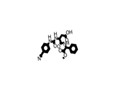 COC(=O)C(NC(=O)C(CC(=O)O)NC(=O)Nc1ccc(C#N)cc1)c1ccccc1